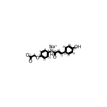 O=C([O-])COc1ccc(NC(=O)C=Cc2ccc(O)cc2)cc1.[Na+]